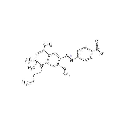 CCCCN1c2cc(OC)c(/N=N/c3ccc([N+](=O)[O-])cc3)cc2C(C)=CC1(C)C